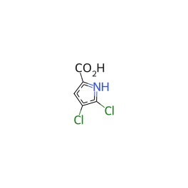 O=C(O)c1cc(Cl)c(Cl)[nH]1